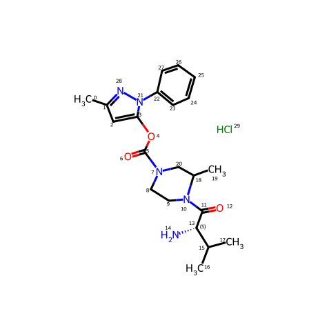 Cc1cc(OC(=O)N2CCN(C(=O)[C@@H](N)C(C)C)C(C)C2)n(-c2ccccc2)n1.Cl